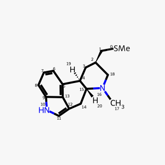 CSC[C@@H]1C[C@@H]2c3cccc4[nH]cc(c34)C[C@H]2N(C)C1